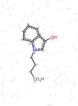 O=C(O)CCCn1cc(O)c2ccccc21